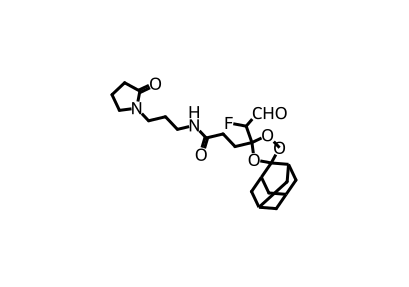 O=CC(F)C1(CCC(=O)NCCCN2CCCC2=O)OOC2(O1)C1CC3CC(C1)CC2C3